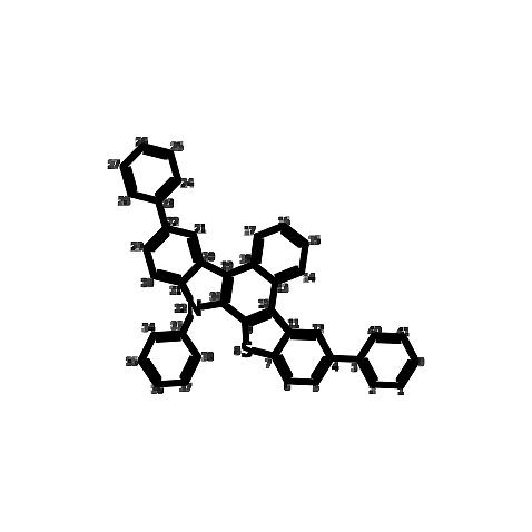 c1ccc(-c2ccc3sc4c(c3c2)c2ccccc2c2c3cc(-c5ccccc5)ccc3n(-c3ccccc3)c42)cc1